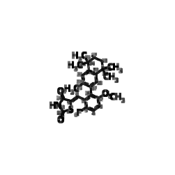 COc1ccc(F)c(C=C2SC(=O)NC2=O)c1-c1cc2c(cc1C)C(C)(C)CCC2(C)C